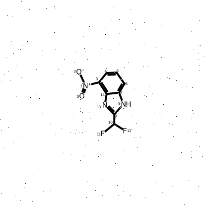 O=[N+]([O-])c1cccc2[nH]c(C(F)F)nc12